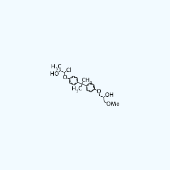 COCC(O)COc1ccc(C(C)(C)c2ccc(OC(Cl)C(C)O)cc2)cc1